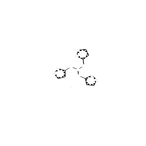 [K].c1cc(OB(Oc2cc[nH]n2)Oc2cc[nH]n2)n[nH]1